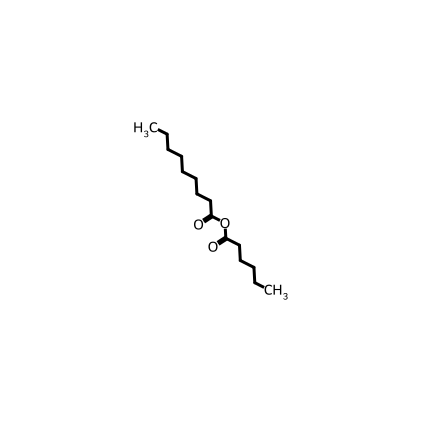 CCCCCCCCC(=O)OC(=O)CCCCC